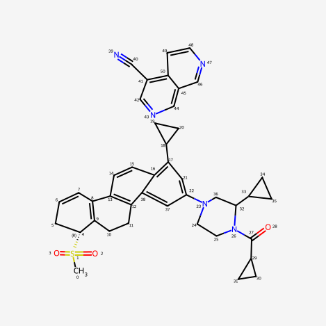 CS(=O)(=O)[C@@H]1CC=CC2=C1CCc1c2ccc2c(C3CC3)cc(N3CCN(C(=O)C4CC4)C(C4CC4)C3)cc12.N#Cc1cncc2cnccc12